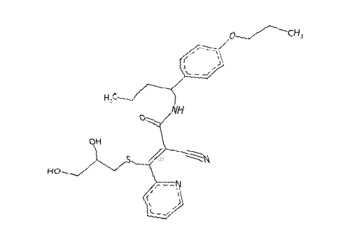 CCCOc1ccc(C(CCC)NC(=O)/C(C#N)=C(\SCC(O)CO)c2ccccn2)cc1